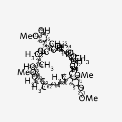 COCCOc1ccc(C2C[C@@H]3CC[C@@H](C)[C@@](O)(O3)C(=O)C(=O)N3CCCC[C@H]3C(=O)O[C@H]([C@H](C)C[C@@H]3CC[C@@H](O)[C@H](OC)C3)CC(=O)[C@H](C)/C=C(\C)[C@@H](O)[C@@H](OC)C(=O)[C@H](C)C[C@H](C)/C=C/C=C/C=C/2C)c(OC)c1